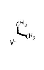 C[CH]C.[V]